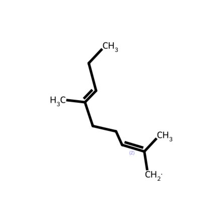 [CH2]/C(C)=C/CCC(C)=CCC